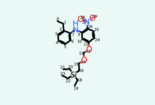 CCc1ccccc1Nc1cc(OCOCC[Si](CC)(CC)CC)ccc1[N+](=O)[O-]